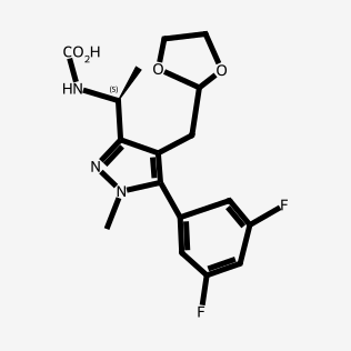 C[C@H](NC(=O)O)c1nn(C)c(-c2cc(F)cc(F)c2)c1CC1OCCO1